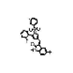 O=C1Nc2ccc(F)cc2C1=Cc1cc(-c2ccccc2F)n(S(=O)(=O)c2cccnc2)c1